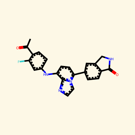 CC(=O)c1ccc(Nc2ccc(-c3ccc4c(c3)CNC4=O)n3ccnc23)cc1F